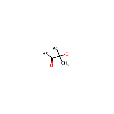 CC(=O)C(C)(O)C(=O)S